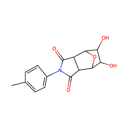 Cc1ccc(N2C(=O)C3C4OC(C(O)C4O)C3C2=O)cc1